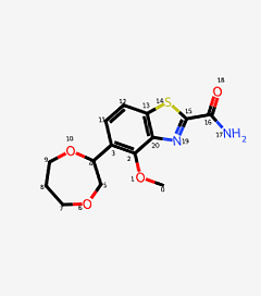 COc1c(C2COCCCO2)ccc2sc(C(N)=O)nc12